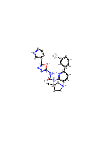 O=C(Nc1nnc(-c2cccnc2)o1)N1c2nc(-c3cccc(C(F)(F)F)c3)ccc2N2CC[C@H]1C2